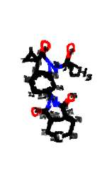 CC(=O)N1C(=O)C2(CC2)c2ccc(N3C(=O)C4CCCCC4C3=O)cc21